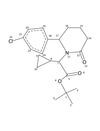 CC(C)(C)OC(=O)C(C1CC1)N1C(=O)CCCC1c1ccc(Cl)cc1